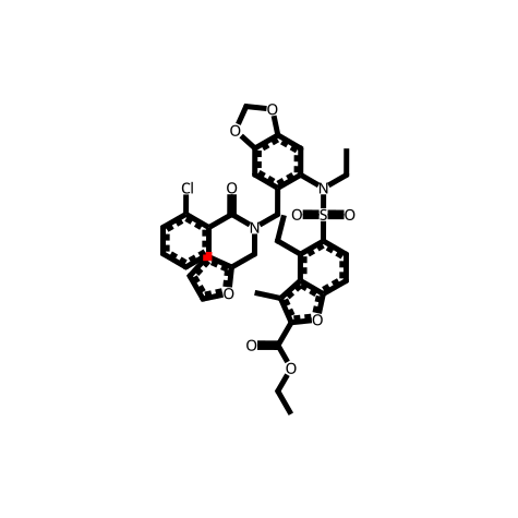 CCOC(=O)c1oc2ccc(S(=O)(=O)N(CC)c3cc4c(cc3CN(Cc3ccco3)C(=O)c3ccccc3Cl)OCO4)c(CC)c2c1C